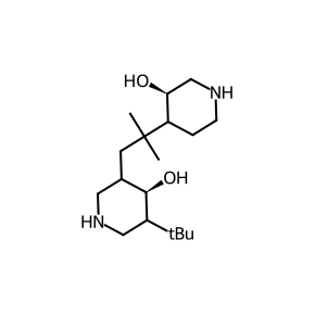 CC(C)(C)C1CNCC(CC(C)(C)C2CCNC[C@@H]2O)[C@H]1O